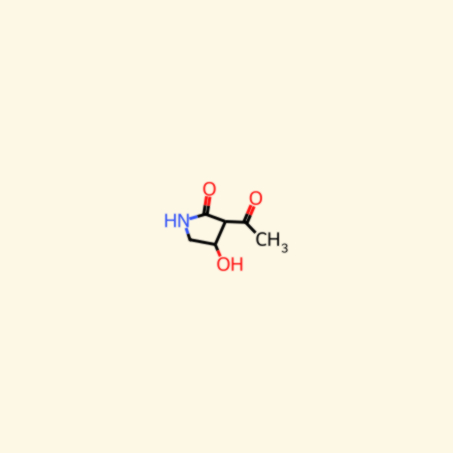 CC(=O)C1C(=O)NCC1O